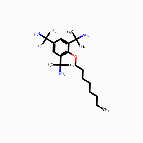 CCCCCCCCOc1c(C(C)(C)N)cc(C(C)(C)N)cc1C(C)(C)N